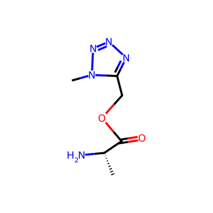 C[C@H](N)C(=O)OCc1nnnn1C